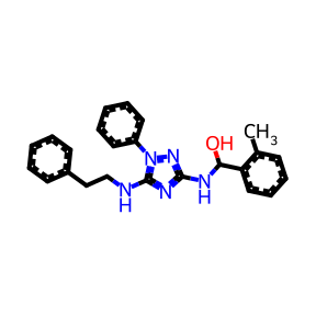 Cc1ccccc1C(O)Nc1nc(NCCc2ccccc2)n(-c2ccccc2)n1